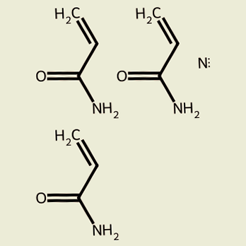 C=CC(N)=O.C=CC(N)=O.C=CC(N)=O.[N]